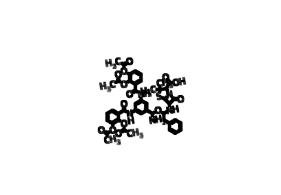 CC(=O)Oc1cccc(C(=O)Nc2cc(NC(=O)c3cccc(OC(C)=O)c3OC(C)=O)cc(C(N)OC(Cc3ccccc3)NC3C(=O)N4C3SC(C)(C)C4C(=O)O)c2)c1OC(C)=O